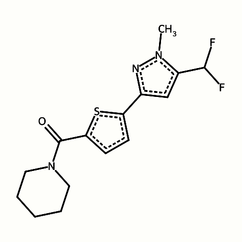 Cn1nc(-c2ccc(C(=O)N3CCCCC3)s2)cc1C(F)F